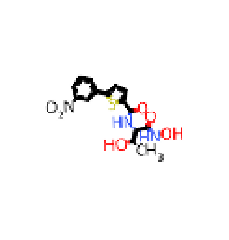 C[C@@H](O)[C@H](NC(=O)c1ccc(-c2cccc([N+](=O)[O-])c2)s1)C(=O)NO